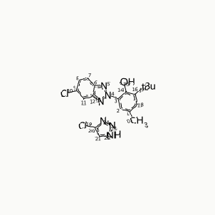 Cc1cc(-n2nc3ccc(Cl)cc3n2)c(O)c(C(C)(C)C)c1.Clc1c[nH]nn1